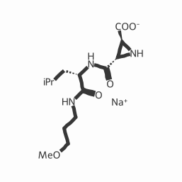 COCCCNC(=O)[C@H](CC(C)C)NC(=O)[C@H]1N[C@@H]1C(=O)[O-].[Na+]